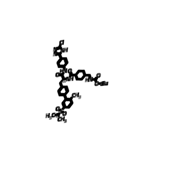 Cc1ccc(S(=O)(=O)N(C)C)cc1-c1ccc(C[C@H](NC(=O)C2CCC(CNC(=O)OC(C)(C)C)CC2)C(=O)Nc2ccc(-c3nnc(Cl)[nH]3)cc2)cc1